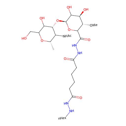 CCCCCCNNC(=O)CCCCC(=O)NNC(=O)C1O[C@@H](O[C@H]2C(O)C(CO)O[C@@H](C)C2NC(C)=O)C(O)[C@@H](O)[C@@H]1OC